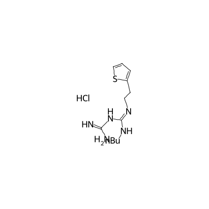 CCCCNC(=NCCc1cccs1)NC(=N)N.Cl